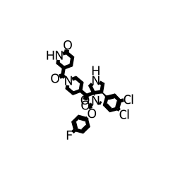 CN(C(=O)Oc1ccc(F)cc1)[C@]1(C(=O)C2CCN(C(=O)C3CCC(=O)NC3)CC2)CNC[C@H]1c1ccc(Cl)c(Cl)c1